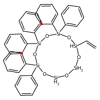 C=C[SiH]1O[SiH2]O[SiH2]O[Si](c2ccccc2)(c2ccccc2)O[Si](c2ccccc2)(c2ccccc2)O[Si](c2ccccc2)(c2ccccc2)O1